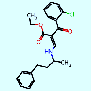 CCOC(=O)C(=CNC(C)CCc1ccccc1)C(=O)c1ccccc1Cl